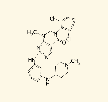 CN1CCC(Nc2cccc(Nc3ncc4c(n3)N(C)CN(c3c(Cl)cccc3Cl)C4=O)c2)CC1